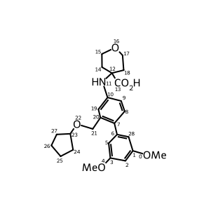 COc1cc(OC)cc(-c2ccc(NC3(C(=O)O)CCOCC3)cc2COC2CCCC2)c1